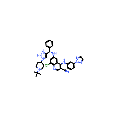 CC(C)(C)N1CCC(N2C=C([C@@H](Nc3cc(Cl)c4ncc(C#N)c(Nc5cccc(-n6nccn6)c5)c4c3)c3ccccc3)NN2)CC1